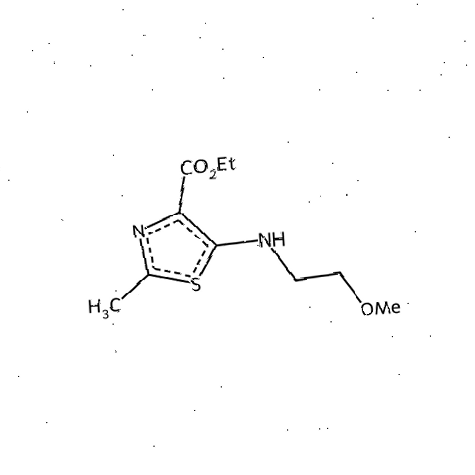 CCOC(=O)c1nc(C)sc1NCCOC